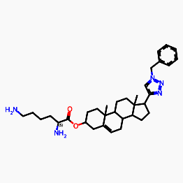 CC12CCC(OC(=O)[C@@H](N)CCCCN)CC1=CCC1C2CCC2(C)C(c3cn(Cc4ccccc4)nn3)CCC12